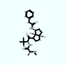 CN[C@@H](C)C(=O)N[C@H](C(=O)C1CC[C@H]2CC[C@H](NC(=O)Cc3ccccc3)[C@@H]12)C(C)(C)C